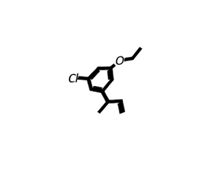 C=C[C](C)c1cc(Cl)cc(OCC)c1